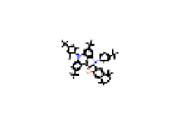 Cc1cc(C(C)(C)C)cc(C)c1N1c2ccc(C(C)(C)C)cc2B2C3=C(C4C=C5C(=CC4O3)C(C)(C)CCC5(C)C)N(c3ccc(C(C)(C)C)cc3)c3cc(C(C)(C)C)cc1c32